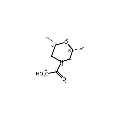 C[C@@H]1CN(C(=O)C(=O)O)C[C@H](C)O1